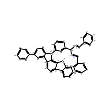 C(=N\C(/N=C/c1ccccc1)c1cccc(-n2c3ccc(-c4ccccc4)cc3c3ccc4c5ccccc5sc4c32)c1)/c1ccccc1